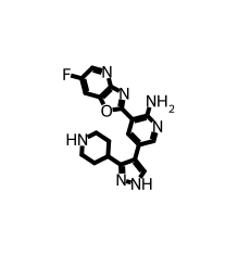 Nc1ncc(-c2c[nH]nc2C2CCNCC2)cc1-c1nc2ncc(F)cc2o1